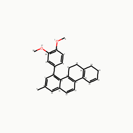 COc1ccc(-c2cc(C)cc3ccc4c(c23)CCC2=C4C=CCC2)cc1OC